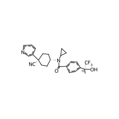 C[C@](O)(c1ccc(C(=O)N(C2CC2)[C@H]2CC[C@](C#N)(c3cccnc3)CC2)cc1)C(F)(F)F